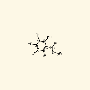 CC(C)ON(F)c1c(F)c(F)c(F)c(F)c1F